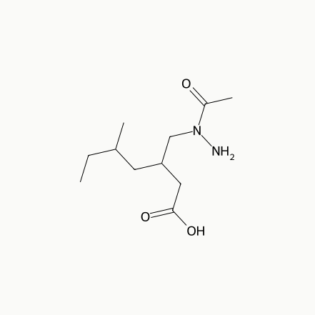 CCC(C)CC(CC(=O)O)CN(N)C(C)=O